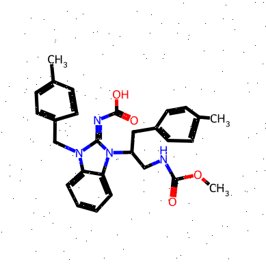 COC(=O)NCC(Cc1ccc(C)cc1)n1c(=NC(=O)O)n(Cc2ccc(C)cc2)c2ccccc21